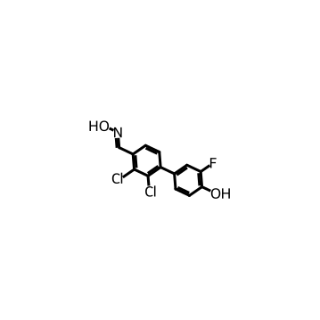 O/N=C/c1ccc(-c2ccc(O)c(F)c2)c(Cl)c1Cl